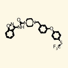 O=C(Nc1noc2ccccc12)N1CCN(Cc2cccc(Oc3ccc(SC(F)(F)F)cc3)c2)CC1